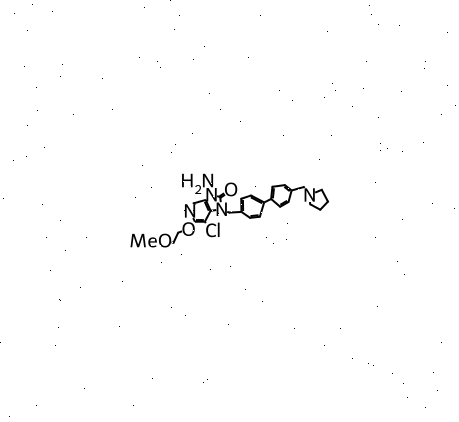 COCCOc1ncc2c(c1Cl)n(Cc1ccc(-c3ccc(CN4CCCC4)cc3)cc1)c(=O)n2N